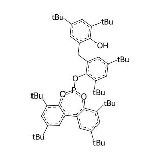 CC(C)(C)c1cc(Cc2cc(C(C)(C)C)cc(C(C)(C)C)c2Op2oc3c(C(C)(C)C)cc(C(C)(C)C)cc3c3cc(C(C)(C)C)cc(C(C)(C)C)c3o2)c(O)c(C(C)(C)C)c1